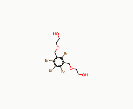 OCCOCc1c(Br)c(Br)c(Br)c(COCCO)c1Br